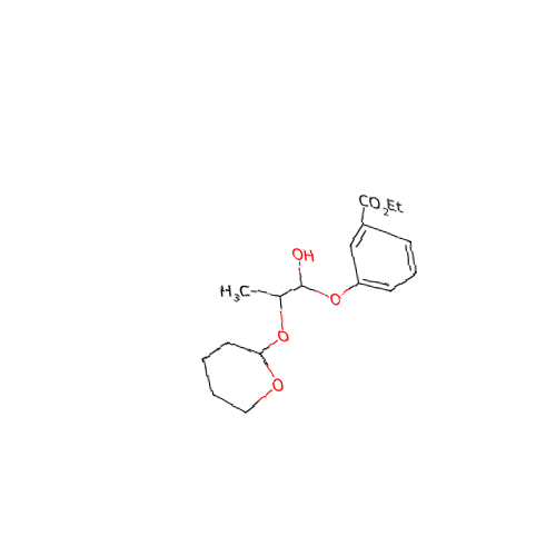 CCOC(=O)c1cccc(OC(O)C(C)OC2CCCCO2)c1